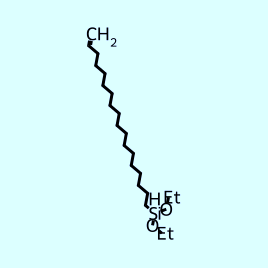 C=CCCCCCCCCCCCCCCCC[SiH](OCC)OCC